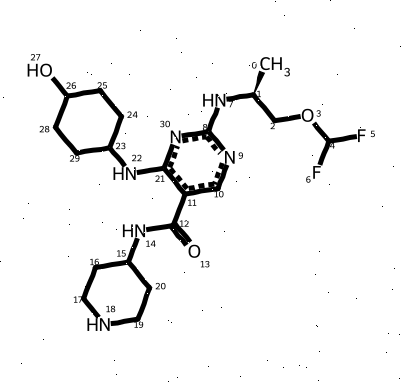 C[C@@H](COC(F)F)Nc1ncc(C(=O)NC2CCNCC2)c(NC2CCC(O)CC2)n1